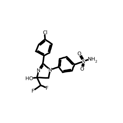 NS(=O)(=O)c1ccc(N2CC(O)(C(F)F)N=C2c2ccc(Cl)cc2)cc1